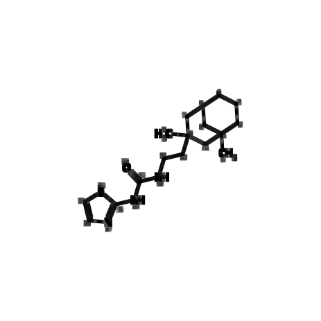 CC12CCCC(C1)CC(C)(CCNC(=O)Nc1nccs1)C2